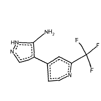 Nc1[nH]ncc1-c1ccnc(C(F)(F)F)c1